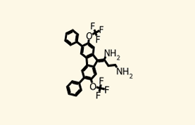 NCCC(N)=C1c2cc(OC(F)(F)F)c(-c3ccccc3)cc2-c2cc(-c3ccccc3)c(OC(F)(F)F)cc21